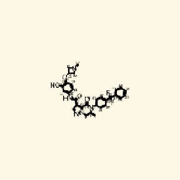 CC1Cn2ncc(C(=O)Nc3ccc(OC4CN(C)C4)c(C#N)c3)c2C(=O)N1c1ccc(C(F)(F)c2ccccc2)cc1